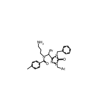 CC(=O)Cn1nc(C(C(C)C)N(CCCN)C(=O)c2ccc(C)cc2)n(Cc2ccccc2)c1=O